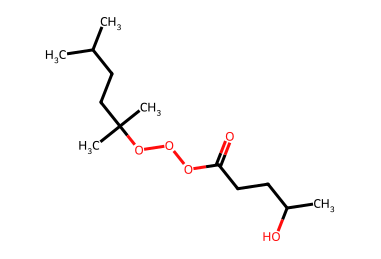 CC(C)CCC(C)(C)OOOC(=O)CCC(C)O